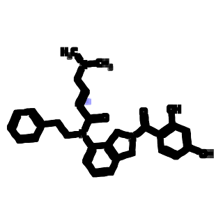 CN(C)C/C=C/C(=O)N(CCc1ccccc1)c1cccc2c1CN(C(=O)c1ccc(O)cc1O)C2